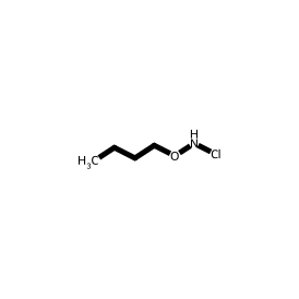 CCCCONCl